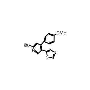 CCC(C)c1cc(-c2ccc(OC)cc2)c(-c2cncs2)[c]n1